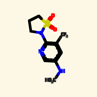 O=C(O)Nc1cnc(N2CCCS2(=O)=O)c(C(F)(F)F)c1